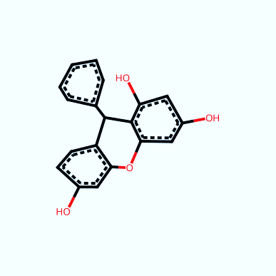 Oc1ccc2c(c1)Oc1cc(O)cc(O)c1C2c1ccccc1